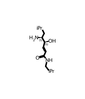 CC(C)CNC(=O)C=C[C@H](O)[C@@H](N)CC(C)C